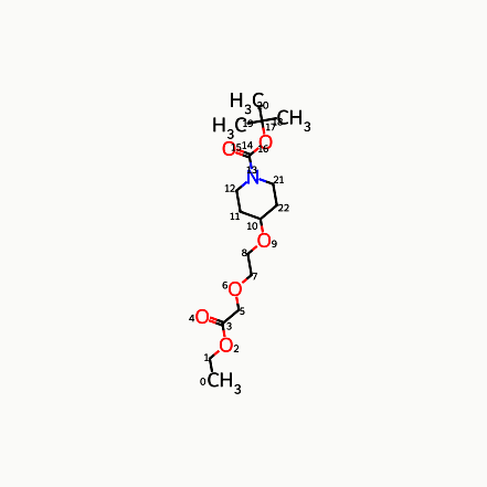 CCOC(=O)COCCOC1CCN(C(=O)OC(C)(C)C)CC1